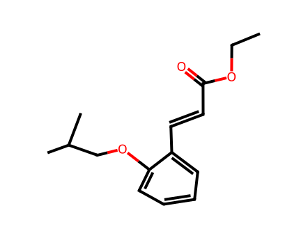 CCOC(=O)C=Cc1ccccc1OCC(C)C